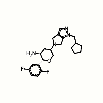 N[C@H]1C[C@@H](N2Cc3cnn(CC4CCCC4)c3C2)CO[C@@H]1c1cc(F)ccc1F